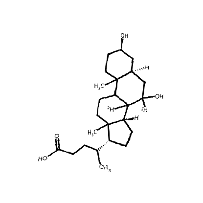 [2H]C1(O)C[C@@H]2C[C@H](O)CCC2(C)C2CCC3(C)[C@@H](C(C)CCC(=O)O)CC[C@H]3C21[2H]